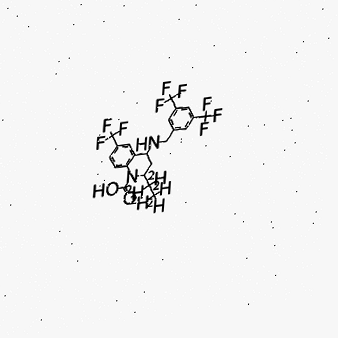 [2H]C([2H])([2H])C([2H])([2H])C1CC(NCc2cc(C(F)(F)F)cc(C(F)(F)F)c2)c2cc(C(F)(F)F)ccc2N1C(=O)O